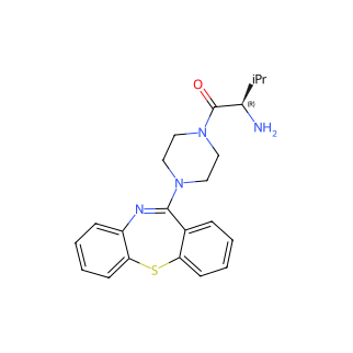 CC(C)[C@@H](N)C(=O)N1CCN(C2=Nc3ccccc3Sc3ccccc32)CC1